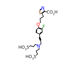 O=C(O)c1ncsc1CCCOc1ccc(C#CCN(CCCS(=O)(=O)O)CCCS(=O)(=O)O)cc1F